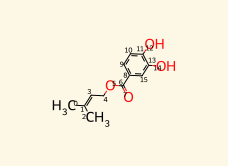 CC(C)=CCOC(=O)c1ccc(O)c(O)c1